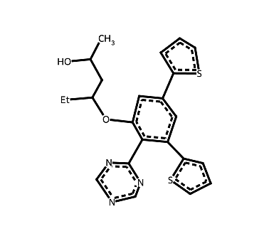 CCC(CC(C)O)Oc1cc(-c2cccs2)cc(-c2cccs2)c1-c1ncncn1